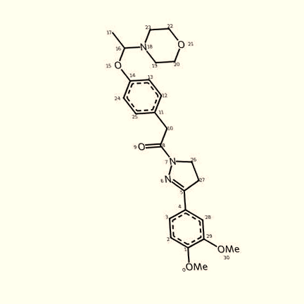 COc1ccc(C2=NN(C(=O)Cc3ccc(OC(C)N4CCOCC4)cc3)CC2)cc1OC